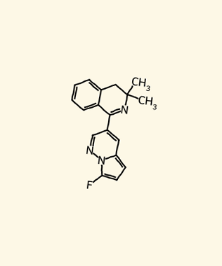 CC1(C)Cc2ccccc2C(c2cnn3c(F)ccc3c2)=N1